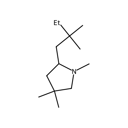 CCC(C)(C)CC1CC(C)(C)CN1C